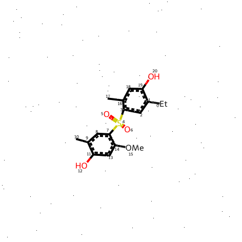 CCc1cc(S(=O)(=O)c2cc(C)c(O)cc2OC)c(C)cc1O